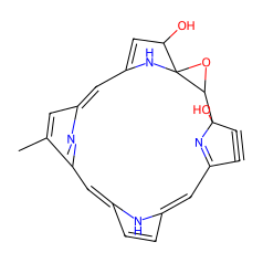 CC1=CC2=CC3=CC(O)C4(N3)OC4C3(O)C#CC(=N3)C=c3ccc([nH]3)=CC1=N2